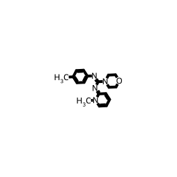 Cc1ccc(N=C(N=c2ccccn2C)N2CCOCC2)cc1